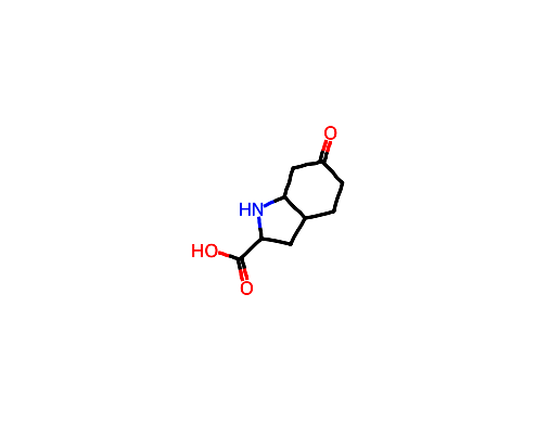 O=C1CCC2CC(C(=O)O)NC2C1